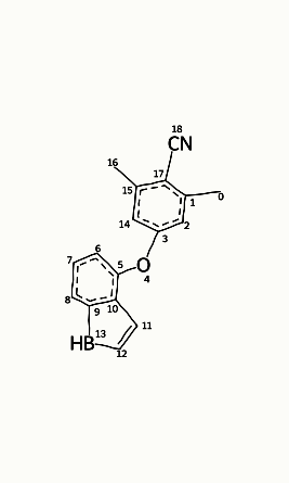 Cc1cc(Oc2cccc3c2C=CB3)cc(C)c1C#N